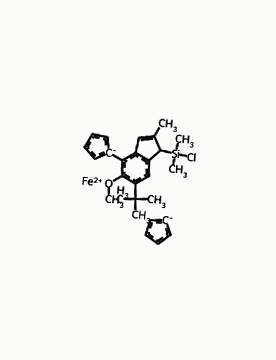 COc1c(C(C)(C)C)cc2c(c1-[c-]1cccc1)C=C(C)C2[Si](C)(C)Cl.[Fe+2].c1cc[cH-]c1